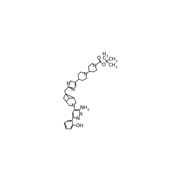 CC(C)(C)OC(=O)N1CCC(N2CCC(c3cnc(CC45CC6CN(c7cc(-c8ccccc8O)nnc7N)CC4C65)nc3)CC2)CC1